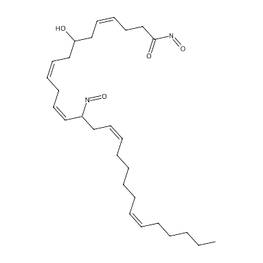 CCCCC/C=C\CCCC/C=C\CC(/C=C\C/C=C\CC(O)C/C=C\CCC(=O)N=O)N=O